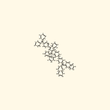 c1ccc(N(c2ccccc2)c2ccc(-c3cc4c(c5ccccc35)-c3ccc(-c5ccc(N(c6ccc7ccccc7c6)c6ccc7ccccc7c6)cc5)cc3C4(c3ccccc3)c3ccccc3)nc2)cc1